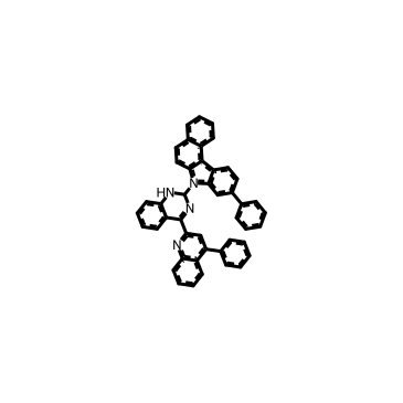 c1ccc(-c2ccc3c4c5ccccc5ccc4n(C4N=C(c5cc(-c6ccccc6)c6ccccc6n5)c5ccccc5N4)c3c2)cc1